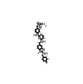 Cn1c(NCc2ccc(F)cc2)nc2cc(CNc3ccnc(Nc4ccc(CS(N)(=O)=O)cc4)n3)ccc21